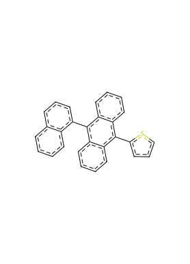 c1csc(-c2c3ccccc3c(-c3cccc4ccccc34)c3ccccc23)c1